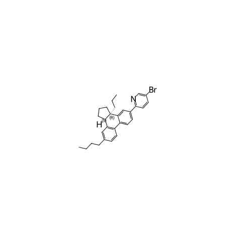 CCCCc1ccc2c(c1)[C@H]1CCC[C@@]1(CCC)c1cc(-c3ccc(Br)cn3)ccc1-2